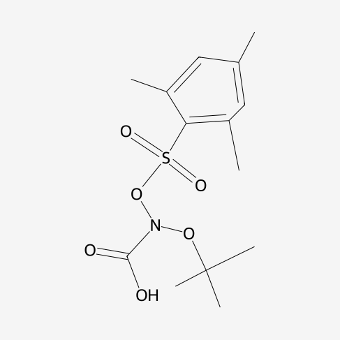 Cc1cc(C)c(S(=O)(=O)ON(OC(C)(C)C)C(=O)O)c(C)c1